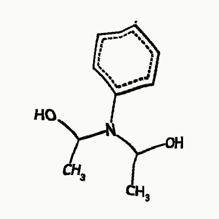 CC(O)N(c1cc[c]cc1)C(C)O